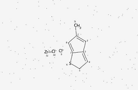 CC1=CC2=CCSC2=C1.[Cl-].[Cl-].[Zr+2]